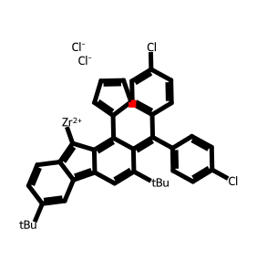 CC(C)(C)c1ccc2c(c1)=c1cc(C(C)(C)C)c(=C(c3ccc(Cl)cc3)c3ccc(Cl)cc3)c(C3=CC=CC3)c1[C]=2[Zr+2].[Cl-].[Cl-]